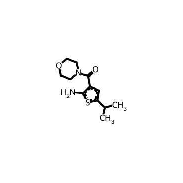 CC(C)c1cc(C(=O)N2CCOCC2)c(N)s1